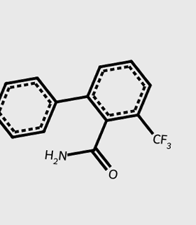 NC(=O)c1c(-c2ccccc2)cccc1C(F)(F)F